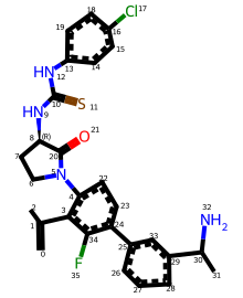 C=C(C)c1c(N2CC[C@@H](NC(=S)Nc3ccc(Cl)cc3)C2=O)ccc(-c2cccc(C(C)N)c2)c1F